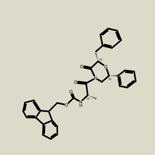 C[C@H](NC(=O)OCC1c2ccccc2-c2ccccc21)C(=O)N1C[C@@H](c2ccccc2)O[C@@H](Cc2ccccc2)C1=O